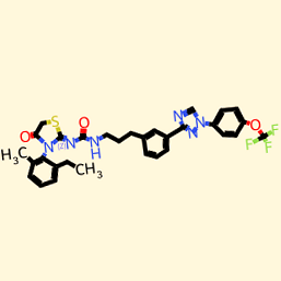 CCc1cccc(C)c1N1C(=O)CS/C1=N\C(=O)NCCCc1cccc(-c2ncn(-c3ccc(OC(F)(F)F)cc3)n2)c1